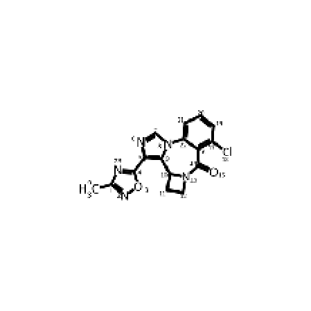 Cc1noc(-c2ncn3c2C2CCN2C(=O)c2c(Cl)cccc2-3)n1